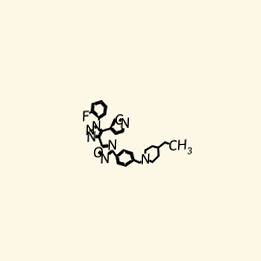 CCC1CCN(Cc2ccc(-c3noc(-c4nnn(-c5ccccc5F)c4-c4ccncc4)n3)cc2)CC1